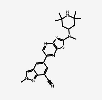 CN(c1nc2ncc(-c3cc(C#N)c4nn(C)cc4c3)nc2s1)C1CC(C)(C)NC(C)(C)C1